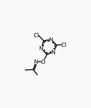 CC(C)=NOc1nc(Cl)nc(Cl)n1